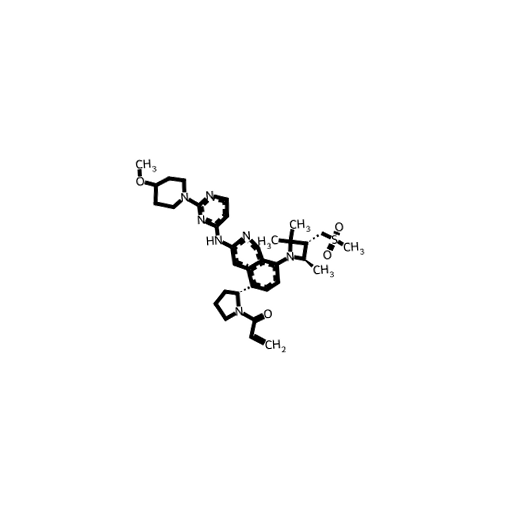 C=CC(=O)N1CCC[C@@H]1c1ccc(N2[C@H](C)[C@@H](CS(C)(=O)=O)C2(C)C)c2cnc(Nc3ccnc(N4CCC(OC)CC4)n3)cc12